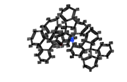 c1ccc(C2(c3ccccc3)c3ccccc3-c3c(N(c4ccc5c6ccccc6c6ccccc6c5c4)c4cccc5c4C(c4ccccc4)(c4ccccc4)c4ccccc4-5)cccc32)cc1